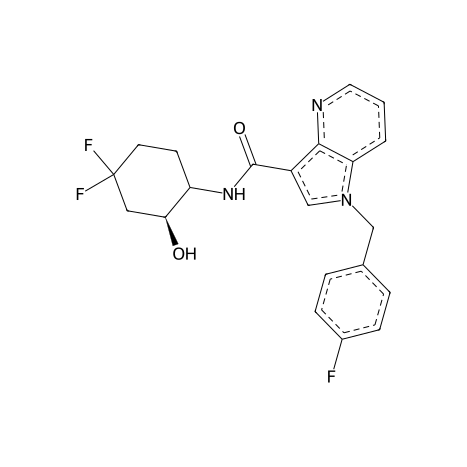 O=C(NC1CCC(F)(F)C[C@@H]1O)c1cn(Cc2ccc(F)cc2)c2cccnc12